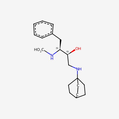 O=C(O)N[C@@H](Cc1ccccc1)[C@@H](O)CNC12CCC(CC1)CC2